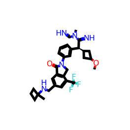 COC1CC([C@H](C(=N)N(C)C=N)c2cccc(N3Cc4c(cc(CNC5(C)CCC5)cc4C(F)(F)F)C3=O)c2)C1